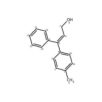 Cc1ccc(C(=CCO)c2ccccc2)cc1